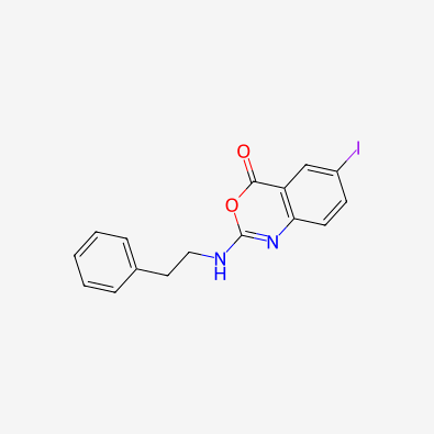 O=c1oc(NCCc2ccccc2)nc2ccc(I)cc12